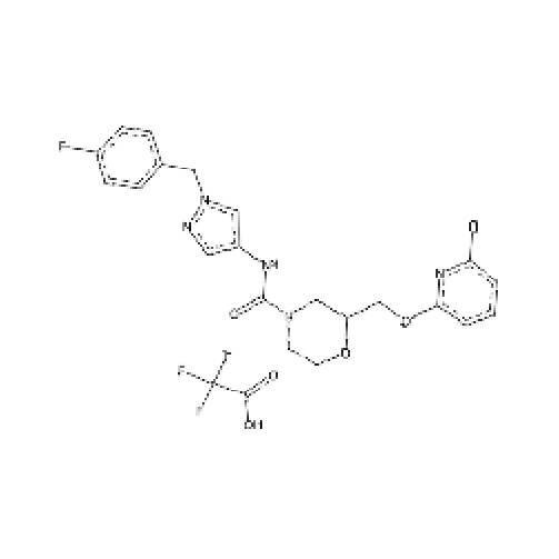 O=C(Nc1cnn(Cc2ccc(F)cc2)c1)N1CCOC(COc2cccc(Cl)n2)C1.O=C(O)C(F)(F)F